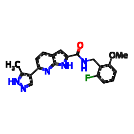 COc1cccc(F)c1CNC(=O)c1cc2ccc(-c3cn[nH]c3C)nc2[nH]1